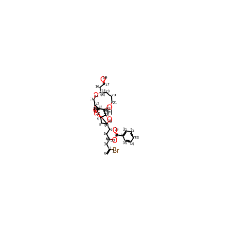 C=C(Br)C[C@@H](CC[C@]12CC3O[C@H]4C(CO[C@@H](CC=O)CCCO[C@H]4C3O1)O2)OC(=O)c1ccccc1